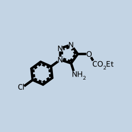 CCOC(=O)Oc1nnn(-c2ccc(Cl)cc2)c1N